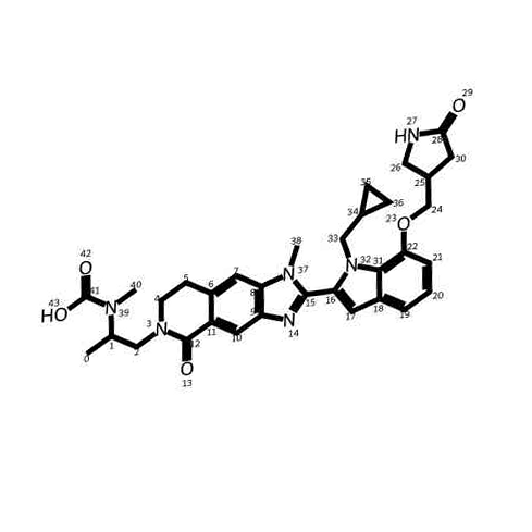 CC(CN1CCc2cc3c(cc2C1=O)nc(-c1cc2cccc(OCC4CNC(=O)C4)c2n1CC1CC1)n3C)N(C)C(=O)O